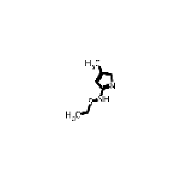 CCSNC1=NCC(C)=C1